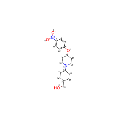 O=[N+]([O-])c1ccc(OC2CCN(C3CCC(CO)CC3)CC2)cc1